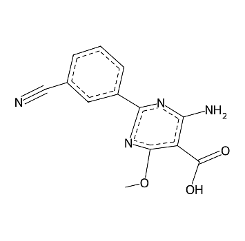 COc1nc(-c2cccc(C#N)c2)nc(N)c1C(=O)O